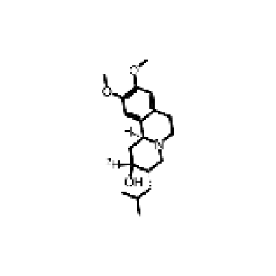 [2H][C@@]1(O)C[C@H]2c3cc(OC)c(OC)cc3CCN2C[C@@H]1CC(C)C